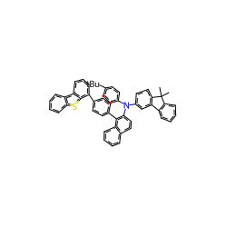 CC(C)(C)c1ccc(N(c2ccc3c(c2)-c2ccccc2C3(C)C)c2ccc3ccccc3c2-c2ccc(-c3cccc4c3sc3ccccc34)cc2)cc1